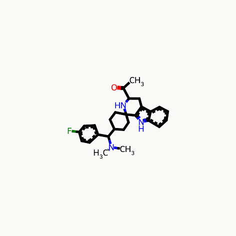 CC(=O)C1Cc2c([nH]c3ccccc23)C2(CCC(C(c3ccc(F)cc3)N(C)C)CC2)N1